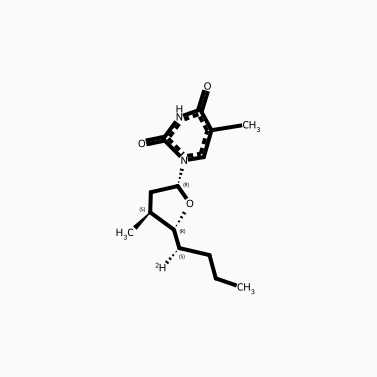 [2H][C@@H](CCC)[C@H]1O[C@@H](n2cc(C)c(=O)[nH]c2=O)C[C@@H]1C